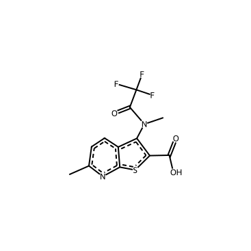 Cc1ccc2c(N(C)C(=O)C(F)(F)F)c(C(=O)O)sc2n1